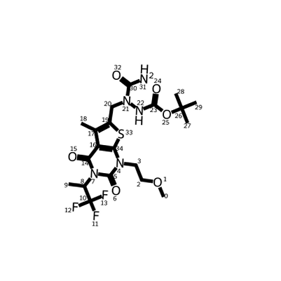 COCCn1c(=O)n(C(C)C(F)(F)F)c(=O)c2c(C)c(CN(NC(=O)OC(C)(C)C)C(N)=O)sc21